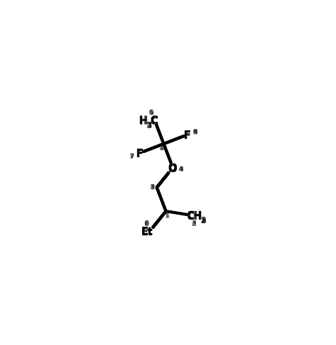 CCC(C)COC(C)(F)F